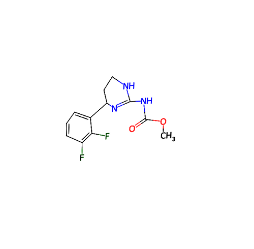 COC(=O)NC1=NC(c2cccc(F)c2F)CCN1